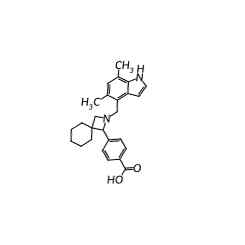 Cc1cc(C)c2[nH]ccc2c1CN1CC2(CCCCC2)C1c1ccc(C(=O)O)cc1